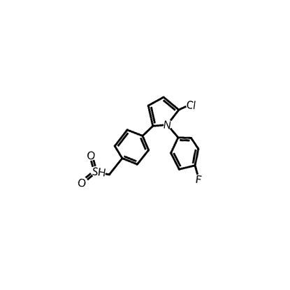 O=[SH](=O)Cc1ccc(-c2ccc(Cl)n2-c2ccc(F)cc2)cc1